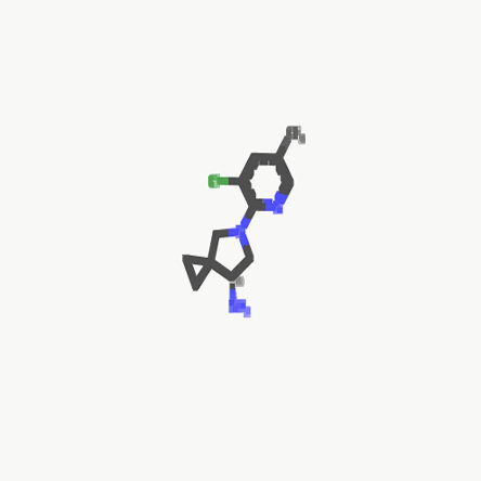 N[C@H]1CN(c2ncc(C(F)(F)F)cc2Cl)CC12CC2